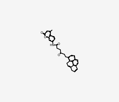 Cc1cc(=O)oc2cc(NC(=O)CCC(=O)CCc3ccc4ccc5c6c4c3CC=C6CC=C5)ccc12